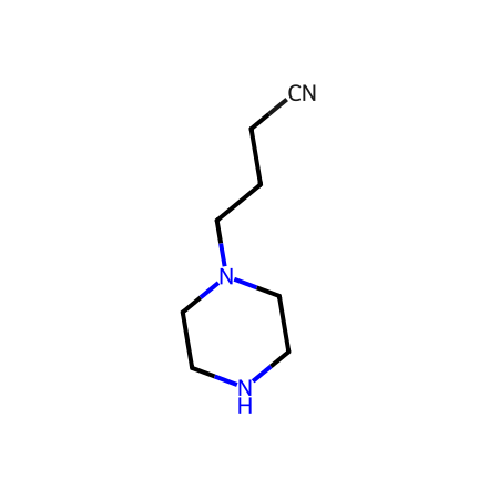 N#CCCCN1CCNCC1